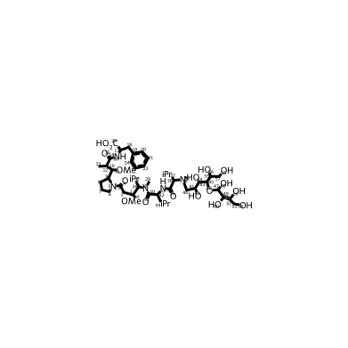 COC(CC(=O)N1CCCC1C(OC)C(C)C(=O)NC(Cc1ccccc1)C(=O)O)C(C(C)C)N(C)C(=O)C(NC(=O)C(C(C)C)N(C)CC(O)C(O)C(OC(O)/C(O)=C(\O)CO)C(O)CO)C(C)C